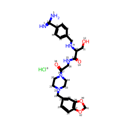 Cl.N=C(N)c1ccc(CNC(CO)C(=O)NCC(=O)N2CCN(Cc3ccc4c(c3)OCO4)CC2)cc1